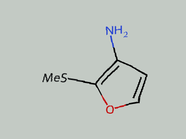 CSc1occc1N